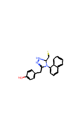 Oc1ccc(CC2=NNC(C=S)N2c2cccc3ccccc23)cc1